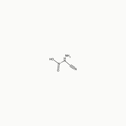 N.N#CN[N+](=O)O